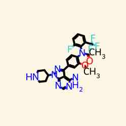 COc1cc(-c2nn(C3CCNCC3)c3ncnc(N)c23)ccc1N(C(C)=O)c1c(F)cccc1C(F)(F)F